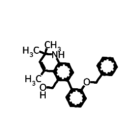 CC1=CC(C)(C)Nc2ccc(-c3ccccc3OCc3ccccc3)c(CO)c21